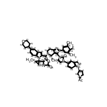 CC(=O)N1CC[C@H](n2ncc3cc(-n4ccn(-c5c6c(nn5-c5cc(C)c(F)c(C)c5)CCN(C(=O)c5cc7cc(C8CCOCC8)ccc7n5[C@@]5(c7noc(=O)[nH]7)C[C@@H]5C)[C@H]6C)c4=O)ccc32)C1